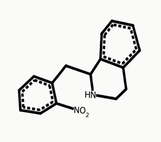 O=[N+]([O-])c1ccccc1CC1NCCc2ccccc21